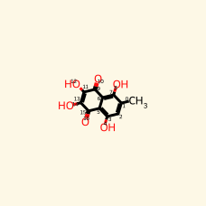 Cc1cc(O)c2c(c1O)C(=O)C(O)=C(O)C2=O